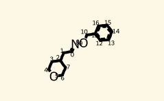 C(CC1CCOCC1)=NOCc1ccccc1